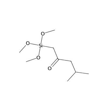 CO[Si](CC(=O)CC(C)C)(OC)OC